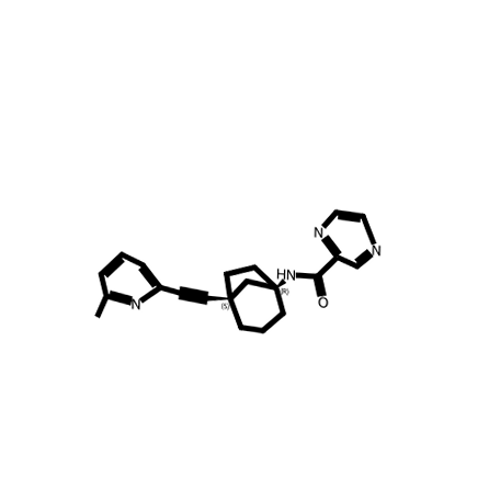 Cc1cccc(C#C[C@@]23CCC[C@@](NC(=O)c4cnccn4)(CC2)C3)n1